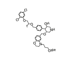 COCCCN1CCOc2ccc(COC3CNCC(O)C3c3ccc(COC(I)COc4cc(Cl)ccc4Cl)cc3)cc21